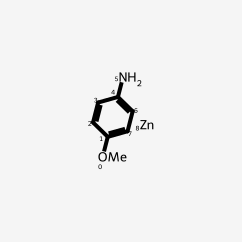 COc1ccc(N)cc1.[Zn]